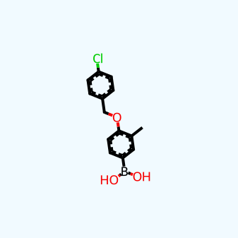 Cc1cc(B(O)O)ccc1OCc1ccc(Cl)cc1